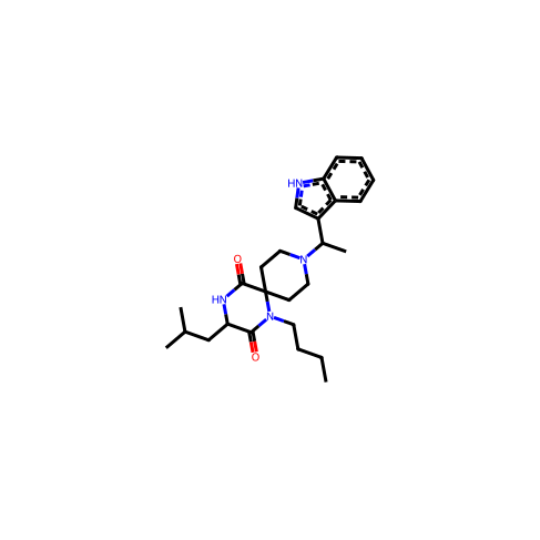 CCCCN1C(=O)C(CC(C)C)NC(=O)C12CCN(C(C)c1c[nH]c3ccccc13)CC2